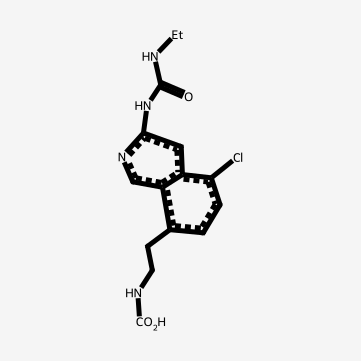 CCNC(=O)Nc1cc2c(Cl)ccc(CCNC(=O)O)c2cn1